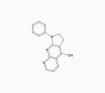 Oc1c2c(nc3ncccc13)N(c1ccccc1)CC2